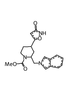 COC(=O)N1CCC(c2cc(=O)[nH]o2)CC1Cn1cc2ccccc2c1